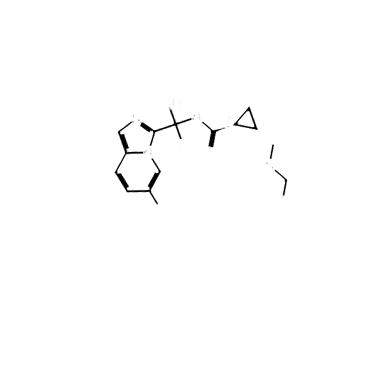 CCNC[C@H]1C[C@@H]1C(=O)NC(C)(C)c1ncc2ccc(F)cn12